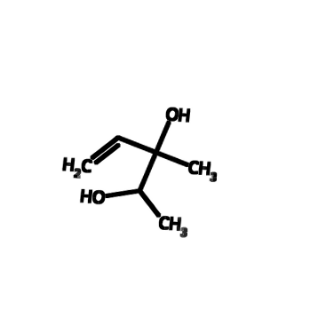 C=CC(C)(O)C(C)O